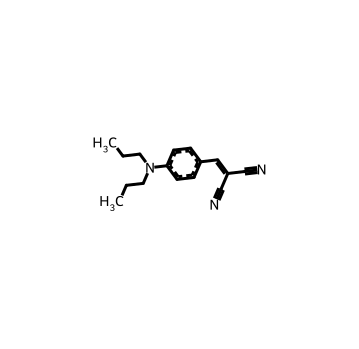 CCCN(CCC)c1ccc(C=C(C#N)C#N)cc1